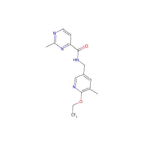 Cc1nccc(C(=O)NCc2cnc(OCC(F)(F)F)c(C)c2)n1